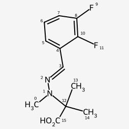 CN(N=Cc1cccc(F)c1F)C(C)(C)C(=O)O